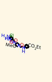 CCOC(=O)c1ccc(NC(=O)CN2CC[C@@H](NC(=O)c3cc(Cl)c(N)[nH]c3=O)[C@@H](OC)C2)cc1